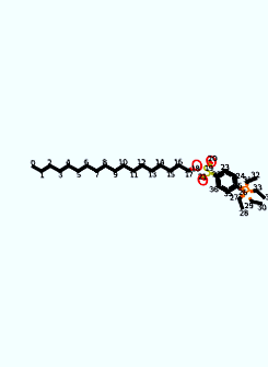 CCCCCCCCCCCCCCCCCCOS(=O)(=O)c1ccc(P(CC)(CC)(CC)CC)cc1